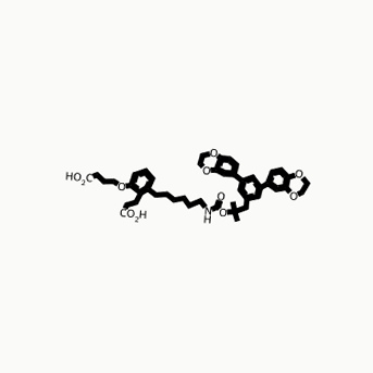 CC(C)(Cc1cc(-c2ccc3c(c2)OCCO3)cc(-c2ccc3c(c2)OCCO3)c1)OC(=O)NCCCCCCc1cccc(OCCCC(=O)O)c1CCC(=O)O